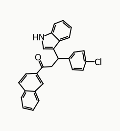 O=C(CC(c1ccc(Cl)cc1)c1c[nH]c2ccccc12)c1ccc2ccccc2c1